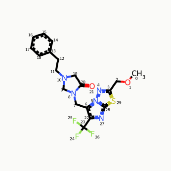 COCc1nn2c(CN3CN(CCc4ccccc4)CC3=O)c(C(F)(F)F)nc2s1